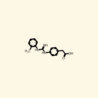 Cc1ccccc1NC(=N)Nc1ccc(CC(=O)O)cc1